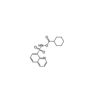 O=C(ONS(=O)(=O)c1cccc2cccnc12)C1CCCCC1